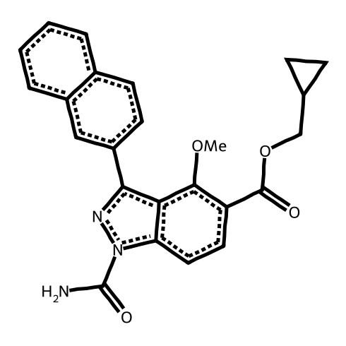 COc1c(C(=O)OCC2CC2)ccc2c1c(-c1ccc3ccccc3c1)nn2C(N)=O